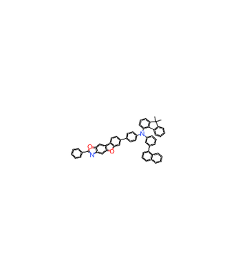 CC1(C)c2ccccc2-c2c(N(c3ccc(-c4ccc5c(c4)oc4cc6nc(-c7ccccc7)oc6cc45)cc3)c3cccc(-c4cccc5ccccc45)c3)cccc21